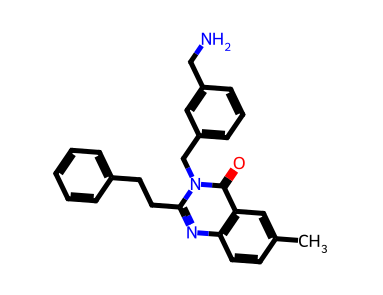 Cc1ccc2nc(CCc3ccccc3)n(Cc3cccc(CN)c3)c(=O)c2c1